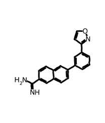 N=C(N)c1ccc2cc(-c3cccc(-c4ccon4)c3)ccc2c1